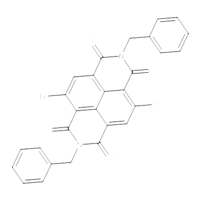 O=C1c2cc(Br)c3c4c(cc(Br)c(c24)C(=O)N1Cc1ccccc1)C(=O)N(Cc1ccccc1)C3=O